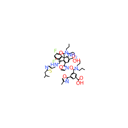 CCCN(CCC)C(=O)C1(c2cc(F)cc(F)c2)C([C@@H](CC)CNCc2cnc(CC(C)C)s2)=C(c2ncco2)C=C(C(=O)O)[C@H]1N.CCCN(CCC)C(=O)c1cc(C(=O)O)cc(-c2nc(C)co2)c1